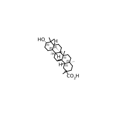 CC1(C)[C@@H](O)CC[C@]2(C)[C@H]3CC=C4[C@H]5C[C@](C)(C(=O)O)CC[C@]5(C)CC[C@@]4(C)[C@]3(C)CC[C@@H]12